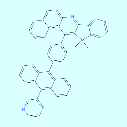 CC1(C)c2ccccc2-c2nc3ccc4ccccc4c3c(-c3ccc(-c4c5ccccc5c(-c5cnccn5)c5ccccc45)cc3)c21